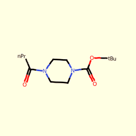 CCCC(=O)N1CCN(C(=O)OC(C)(C)C)CC1